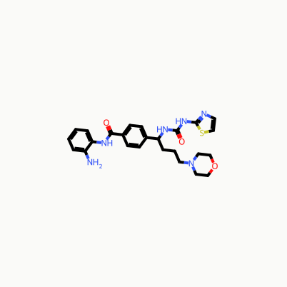 Nc1ccccc1NC(=O)c1ccc(C(CCCN2CCOCC2)NC(=O)Nc2nccs2)cc1